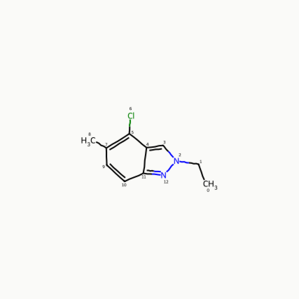 CCn1cc2c(Cl)c(C)ccc2n1